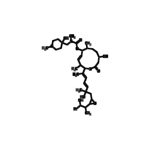 CCC(O)C(C)C1OC1CC(C)(O)/C=C/C=C(\C)C1OC(=O)CC(O)CCC(C)C(OC(=O)N(C)CC2(O)CCN(C)CC2)/C=C/C1C